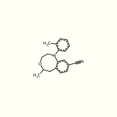 Cc1ccccc1N1CCOC(C)Cc2ccc(C#N)cc21